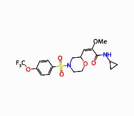 CO/C(=C/C1CN(S(=O)(=O)c2ccc(OC(F)(F)F)cc2)CCO1)C(=O)NC1CC1